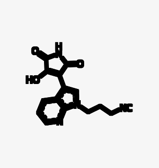 [C-]#[N+]CCCn1cc(C2=C(O)C(=O)NC2=O)c2cccnc21